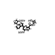 CNc1cc(-c2cnc3n([C@H]4COC[C@@H]4OC)cccc2-3)nc2c(C(=O)N[C@H]3CC[C@H]3O)cnn12